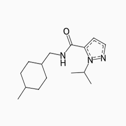 CC1CCC(CNC(=O)c2ccnn2C(C)C)CC1